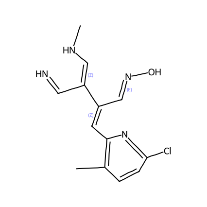 CN/C=C(C=N)/C(=C/c1nc(Cl)ccc1C)/C=N/O